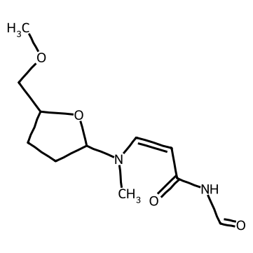 COCC1CCC(N(C)/C=C\C(=O)NC=O)O1